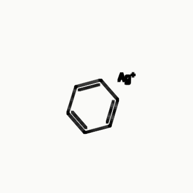 [Ag+].c1ccccc1